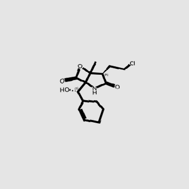 CC12OC(=O)C1([C@@H](O)C1C=CCCC1)NC(=O)[C@@H]2CCCl